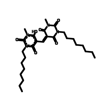 CCCCCCCCN1C(=O)C(=Cc2c(O)n(C)c(=O)n(CCCCCCCC)c2=O)C(=O)N(C)C1=O